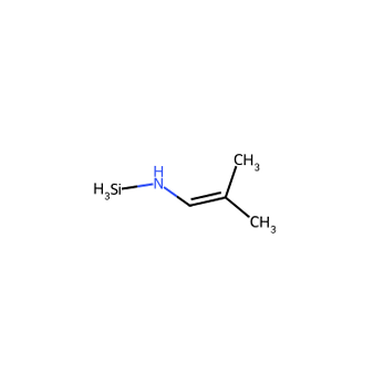 CC(C)=CN[SiH3]